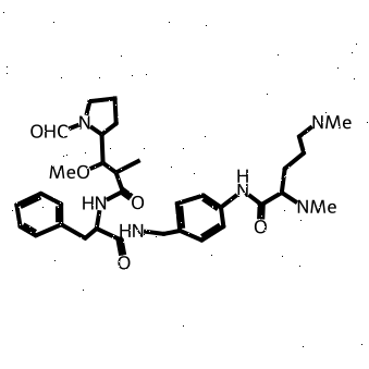 CNCCCC(NC)C(=O)Nc1ccc(CNC(=O)C(Cc2ccccc2)NC(=O)C(C)C(OC)C2CCCN2C=O)cc1